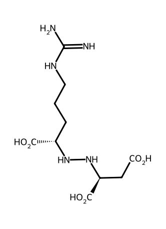 N=C(N)NCCC[C@H](NN[C@@H](CC(=O)O)C(=O)O)C(=O)O